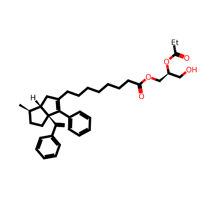 C=C(c1ccccc1)[C@@]12CC[C@@H](C)[C@@H]1CC(CCCCCCCC(=O)OC[C@H](CO)OC(=O)CC)=C2c1ccccc1